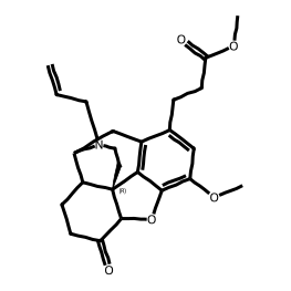 C=CCN1CC[C@@]23c4c5c(CCC(=O)OC)cc(OC)c4OC2C(=O)CCC3C1C5